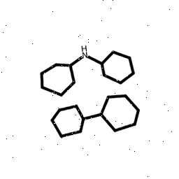 C1CCC(C2CCCCC2)CC1.C1CCC(NC2CCCCC2)CC1